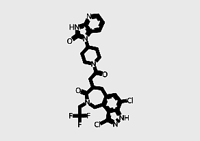 O=C(CC1Cc2cc(Cl)c3[nH]nc(Cl)c3c2CN(CC(F)(F)F)C1=O)N1CCC(n2c(=O)[nH]c3ncccc32)CC1